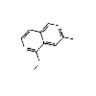 COc1nccc2cnc(Cl)cc12